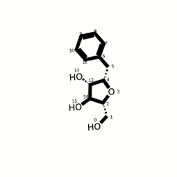 OC[C@H]1O[C@@H](Cc2ccccc2)[C@@H](O)C1O